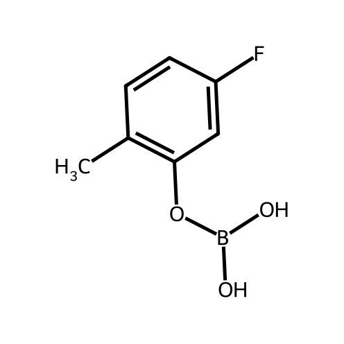 Cc1ccc(F)cc1OB(O)O